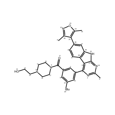 Cc1nc(-c2cc(C(=O)N3CCN(CCO)CC3)cc(C(C)(C)C)c2)c2c(n1)[nH]c1cc(-c3c(C)noc3C)ccc12